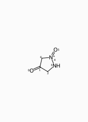 O=C1CN[N+](=O)C1